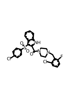 O=C(c1[nH]c2ccccc2c1S(=O)(=O)c1ccc(Cl)cc1)N1CCN(Cc2c(F)cccc2Cl)CC1